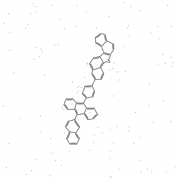 c1ccc2cc(-c3c4ccccc4c(-c4ccc(-c5ccc6c(ccc7c6sc6ccc8ccccc8c67)c5)cc4)c4ccccc34)ccc2c1